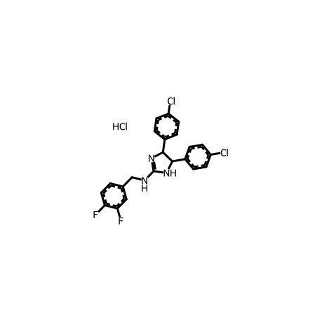 Cl.Fc1ccc(CNC2=NC(c3ccc(Cl)cc3)C(c3ccc(Cl)cc3)N2)cc1F